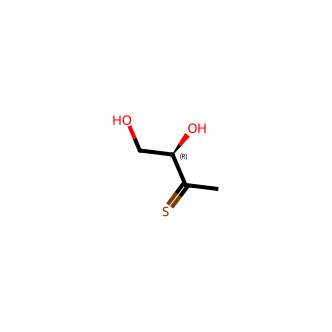 CC(=S)[C@H](O)CO